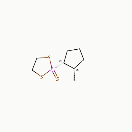 C[C@H]1CCC[C@H]1P1(=S)SCCS1